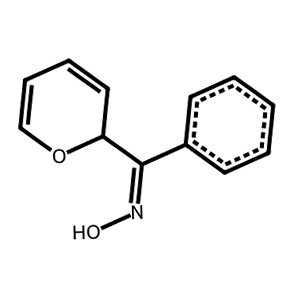 ON=C(c1ccccc1)C1C=CC=CO1